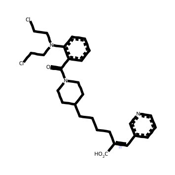 O=C(O)/C(=C/c1cccnc1)CCCCC1CCN(C(=O)c2ccccc2N(CCCl)CCCl)CC1